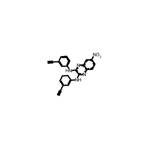 C#CC1=CCCC(Nc2nc3ccc([N+](=O)[O-])cc3nc2NC2=C=C=CC(C#C)=C2)=C1